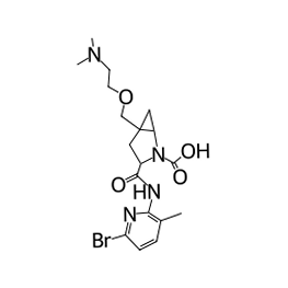 Cc1ccc(Br)nc1NC(=O)C1CC2(COCCN(C)C)CC2N1C(=O)O